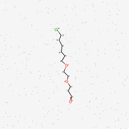 O=CCCOCCOCCCCCCCl